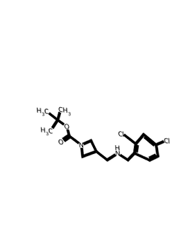 CC(C)(C)OC(=O)N1CC(CNCc2ccc(Cl)cc2Cl)C1